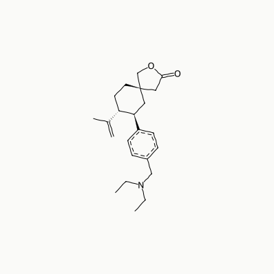 C=C(C)[C@@H]1CC[C@]2(COC(=O)C2)C[C@H]1c1ccc(CN(CC)CC)cc1